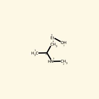 CCO.CNC(C)C